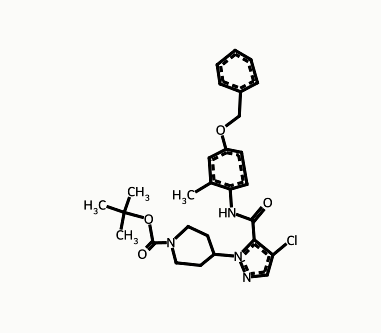 Cc1cc(OCc2ccccc2)ccc1NC(=O)c1c(Cl)cnn1C1CCN(C(=O)OC(C)(C)C)CC1